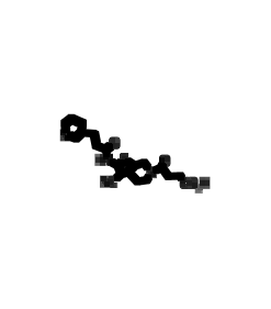 N#Cc1c(NC(=O)/C=C/c2cccnc2)sc2c1CCN(C(=O)CCC(=O)O)C2